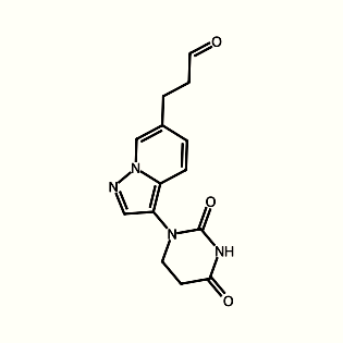 O=CCCc1ccc2c(N3CCC(=O)NC3=O)cnn2c1